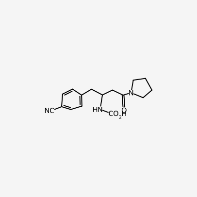 N#Cc1ccc(CC(CC(=O)N2CCCC2)NC(=O)O)cc1